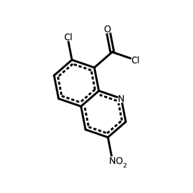 O=C(Cl)c1c(Cl)ccc2cc([N+](=O)[O-])cnc12